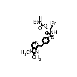 CCNC(=O)OC[C@H](CC(C)C)NS(=O)(=O)c1ccc(Cc2nccc3c2nc(C)n3C)cc1